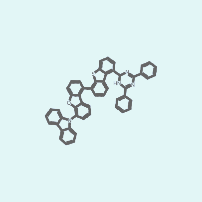 c1ccc(C2=NC(c3cccc4sc5c(-c6cccc7oc8c(-n9c%10ccccc%10c%10ccccc%109)cccc8c67)cccc5c34)NC(c3ccccc3)=N2)cc1